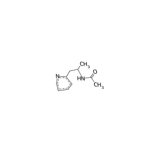 CC(=O)NC(C)Cc1ccccn1